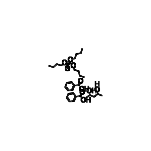 CC(O)CC(C)O.CCCCOP(=O)(OCCCC)OCCCC.O=C(O)c1ccccc1.O=C(O)c1ccccc1